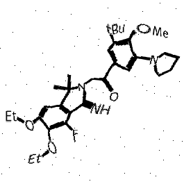 CCOc1cc2c(c(F)c1OCC)C(=N)N(CC(=O)c1cc(N3CCCC3)c(OC)c(C(C)(C)C)c1)C2(C)C